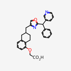 O=C(O)COc1cccc2c1CCC(Cc1coc(C(c3ccccc3)c3cccnc3)n1)C2